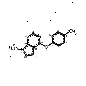 [CH2]c1ccc(Oc2ncnc3c2ccn3C)cc1